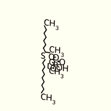 CCCCCCCCCCCSC(CCCCCCCC)C(C)OOC(=O)P(=O)(O)OCCC